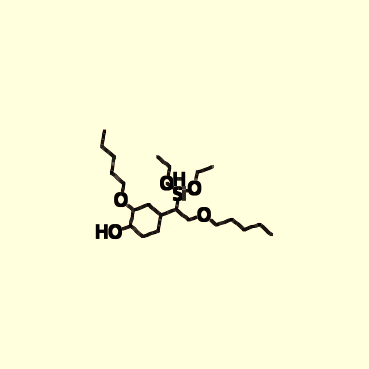 CCCCCOCC(C1CCC(O)C(OCCCCC)C1)[SiH](OCC)OCC